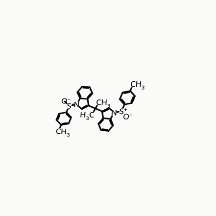 Cc1ccc([S+]([O-])n2cc(C(C)(C)c3cn([S+]([O-])c4ccc(C)cc4)c4ccccc34)c3ccccc32)cc1